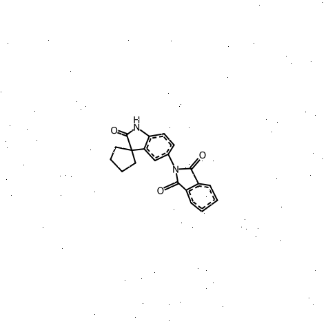 O=C1c2ccccc2C(=O)N1c1ccc2c(c1)C1(CCCC1)C(=O)N2